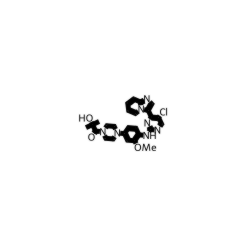 COc1cc(N2CCN(C(=O)C(C)(C)O)CC2)ccc1Nc1ncc(Cl)c(-c2cnc3ccccn23)n1